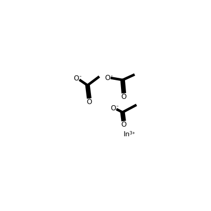 CC(=O)[O-].CC(=O)[O-].CC(=O)[O-].[In+3]